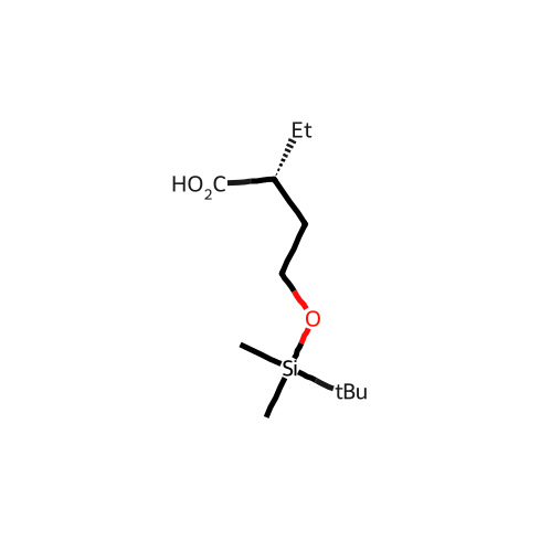 CC[C@H](CCO[Si](C)(C)C(C)(C)C)C(=O)O